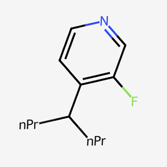 CCCC(CCC)c1ccncc1F